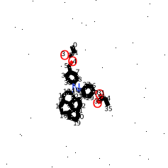 C=CC(=O)OCc1ccc(N(C2=CCC3=CCc4cccc5ccc2c3c45)c2ccc(OC(=O)C=C)cc2)cc1